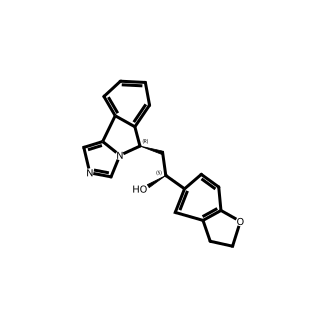 O[C@@H](C[C@@H]1c2ccccc2-c2cncn21)c1ccc2c(c1)CCO2